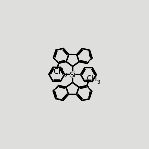 Cc1cccc2c1C([Si](c1ccccc1)(c1ccccc1)C1c3ccccc3-c3cccc(C)c31)c1ccccc1-2